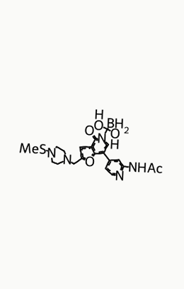 BC(O)(O)n1cc(-c2ccnc(NC(C)=O)c2)c2oc(CN3CCN(SC)CC3)cc2c1=O